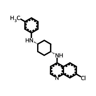 Cc1cccc(N[C@H]2CC[C@@H](Nc3ccnc4cc(Cl)ccc34)CC2)c1